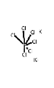 [Cl][Ir]([Cl])([Cl])([Cl])([Cl])[Cl].[K].[K]